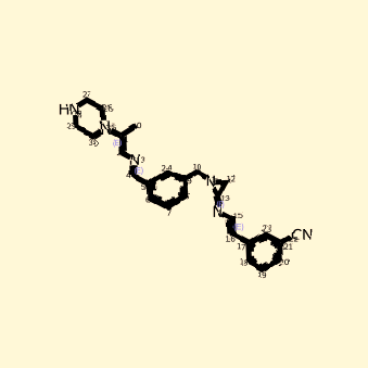 C/C(=C\N=C\c1cccc(CN2C/C2=N\C=C\c2cccc(C#N)c2)c1)N1CCNCC1